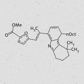 CCCCCCCCC1C=CC(C(C)=Cc2ccc(C(=O)OC)o2)=C2N=C3CCCC(C)(C)C3=C21